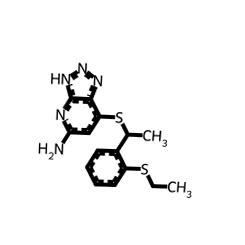 CCSc1ccccc1C(C)Sc1cc(N)nc2[nH]nnc12